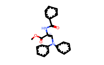 COC(=O)/C(=C\N(c1ccccc1)c1ccccc1)NC(=O)c1ccccc1